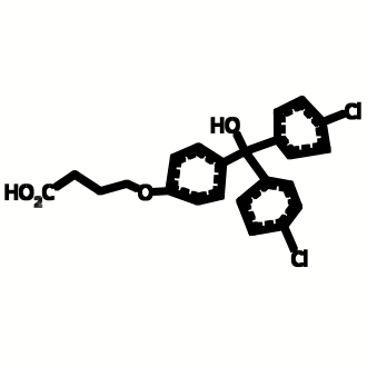 O=C(O)CCCOc1ccc(C(O)(c2ccc(Cl)cc2)c2ccc(Cl)cc2)cc1